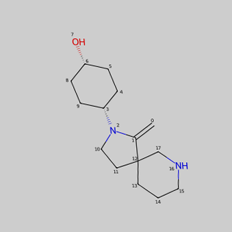 C=C1N([C@H]2CC[C@@H](O)CC2)CCC12CCCNC2